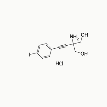 Cl.NC(C#Cc1ccc(I)cc1)(CO)CO